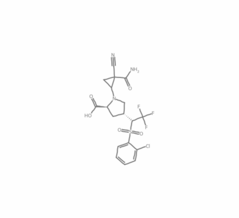 N#CC1(C(N)=O)CC1N1C[C@H](C(C(F)(F)F)S(=O)(=O)c2ccccc2Cl)C[C@H]1C(=O)O